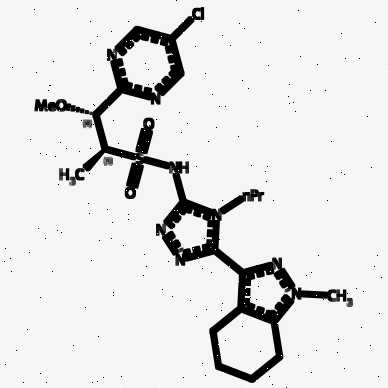 CCCn1c(NS(=O)(=O)[C@@H](C)[C@H](OC)c2ncc(Cl)cn2)nnc1-c1nn(C)c2c1CCCC2